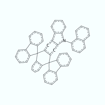 c1ccc2c(c1)-c1ccccc1C21c2ccccc2C2(c3ccccc3-c3ccccc32)c2cc3c(cc21)c1ccccc1n3-c1cccc2ccccc12